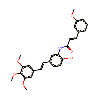 COc1cccc(/C=C/C(=O)Nc2cc(/C=C/c3cc(OC)c(OC)c(OC)c3)ccc2O)c1